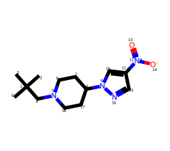 CC(C)(C)CN1CCC(n2cc([N+](=O)[O-])cn2)CC1